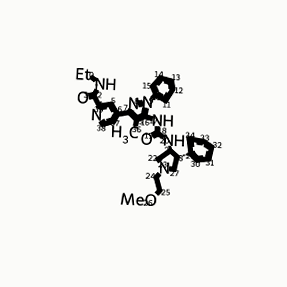 CCNC(=O)c1cc(-c2nn(-c3ccccc3)c(NC(=O)N[C@@H]3CN(CCOC)C[C@H]3c3ccccc3)c2C)ccn1